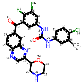 O=C(Nc1cc(F)c(F)c(C(=O)c2ccc3ncc(C4CNCCO4)nc3c2)c1)Nc1ccc(Cl)c(C(F)(F)F)c1